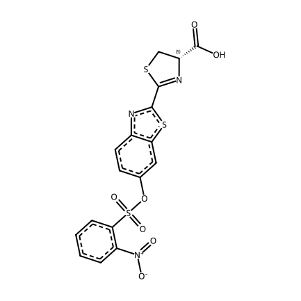 O=C(O)[C@H]1CSC(c2nc3ccc(OS(=O)(=O)c4ccccc4[N+](=O)[O-])cc3s2)=N1